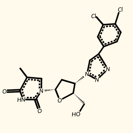 Cc1cn([C@@H]2C[C@H](n3cc(-c4ccc(Cl)c(Cl)c4)nn3)[C@H](CO)O2)c(=O)[nH]c1=O